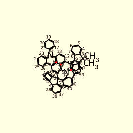 CC1(C)c2ccccc2-c2c(-c3ccc(N(c4ccccc4)c4ccccc4-c4ccc5c(c4)C4(c6ccccc6-c6ccccc64)c4cccc6c7ccccc7n-5c46)cc3)cccc21